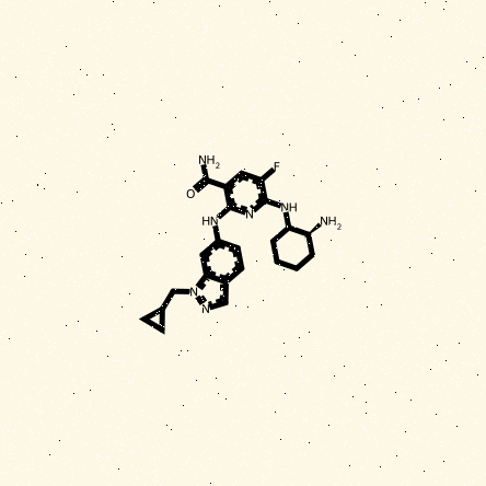 NC(=O)c1cc(F)c(NC2CCCC[C@@H]2N)nc1Nc1ccc2cnn(CC3CC3)c2c1